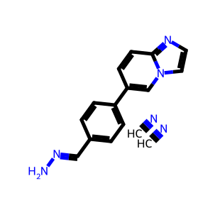 C#N.C#N.NN=Cc1ccc(-c2ccc3nccn3c2)cc1